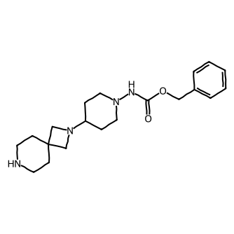 O=C(NN1CCC(N2CC3(CCNCC3)C2)CC1)OCc1ccccc1